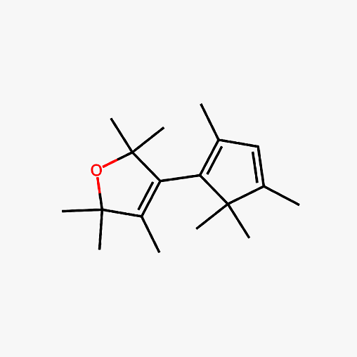 CC1=CC(C)=C(C2=C(C)C(C)(C)OC2(C)C)C1(C)C